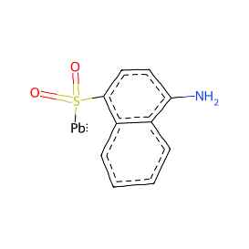 Nc1ccc([S](=O)(=O)[Pb])c2ccccc12